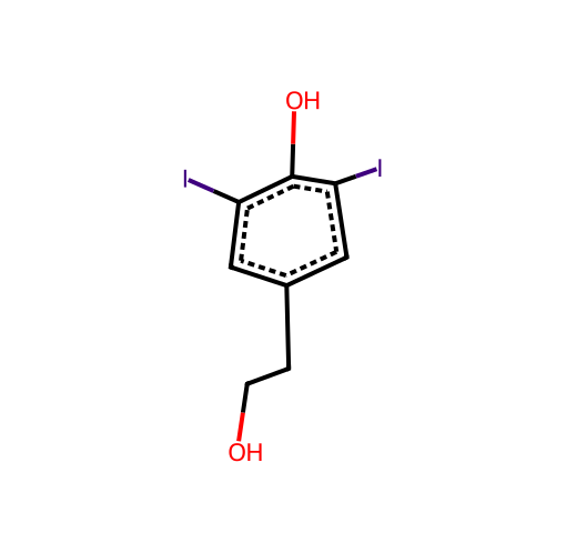 OCCc1cc(I)c(O)c(I)c1